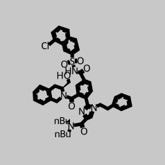 CCCCN(CCCC)C(=O)c1cn(CCc2ccccc2)c(-c2ccc(C(=O)NS(=O)(=O)c3ccc4cccc(Cl)c4c3)cc2C(=O)N2Cc3ccccc3C[C@H]2CO)n1